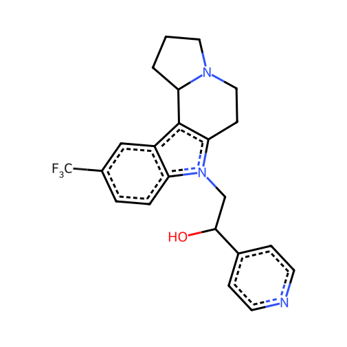 OC(Cn1c2c(c3cc(C(F)(F)F)ccc31)C1CCCN1CC2)c1ccncc1